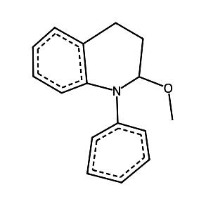 COC1CCc2ccccc2N1c1ccccc1